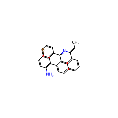 C/C=C(\N=C(c1ccccc1)c1ccccc1-c1cc(Br)ccc1N)c1ccccc1